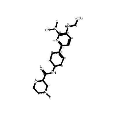 CN1CCOC(C(=O)NC2CC=C(c3ccc(NCC(C)(C)C)c(N(C)N=O)n3)CC2)C1